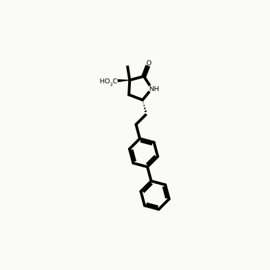 C[C@@]1(C(=O)O)C[C@@H](CCc2ccc(-c3ccccc3)cc2)NC1=O